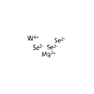 [Mg+2].[Se-2].[Se-2].[Se-2].[W+4]